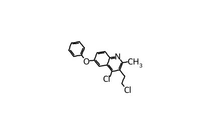 Cc1nc2ccc(Oc3ccccc3)cc2c(Cl)c1CCCl